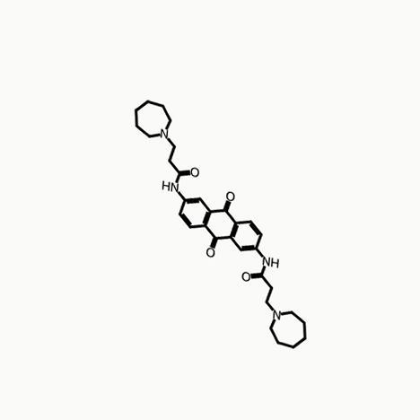 O=C(CCN1CCCCCC1)Nc1ccc2c(c1)C(=O)c1ccc(NC(=O)CCN3CCCCCC3)cc1C2=O